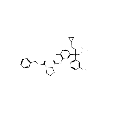 CC(C)(C)[S@@+]([O-])NC(CCC1CC1)(c1cccc(C#N)c1)c1ccc(F)c(NC(=O)[C@H]2CCCN2C(=O)OCc2ccccc2)c1